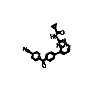 N#CC1CCN(C(=O)c2ccc(-c3cccn4nc(NC(=O)C5CC5)nc34)cc2)CC1